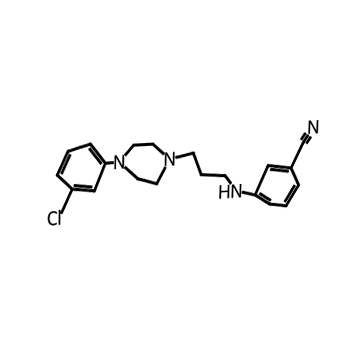 N#Cc1cccc(NCCCN2CCN(c3cccc(Cl)c3)CC2)c1